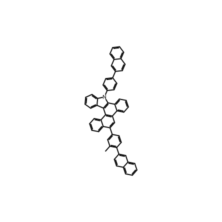 Cc1cc(-c2cc3c4ccccc4c4c(c5ccccc5n4-c4ccc(-c5ccc6ccccc6c5)cc4)c3c3ccccc23)ccc1-c1ccc2ccccc2c1